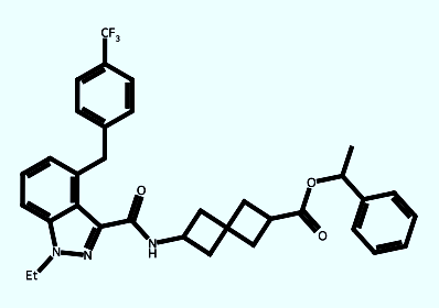 CCn1nc(C(=O)NC2CC3(C2)CC(C(=O)OC(C)c2ccccc2)C3)c2c(Cc3ccc(C(F)(F)F)cc3)cccc21